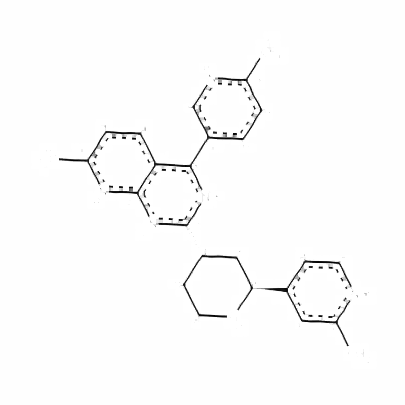 Cc1cc([C@@H]2C[C@@H](c3nc(-c4ccc(C(F)(F)F)nc4)c4ccc(C)nc4n3)CCO2)ccn1